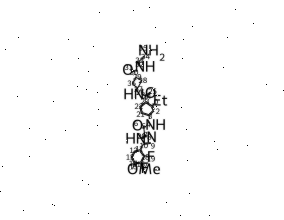 CCc1cc(NC(=O)c2ncc(-c3ccc(OC)c(F)c3F)[nH]2)ccc1C(=O)N[C@H]1C[C@@H](C(=O)NCCN)C1